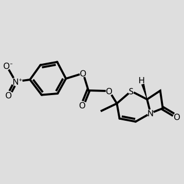 CC1(OC(=O)Oc2ccc([N+](=O)[O-])cc2)C=CN2C(=O)C[C@H]2S1